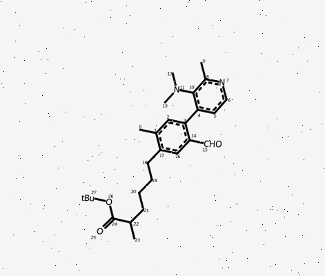 Cc1cc(-c2ccnc(C)c2N(C)C)c(C=O)cc1CCCCC(C)C(=O)OC(C)(C)C